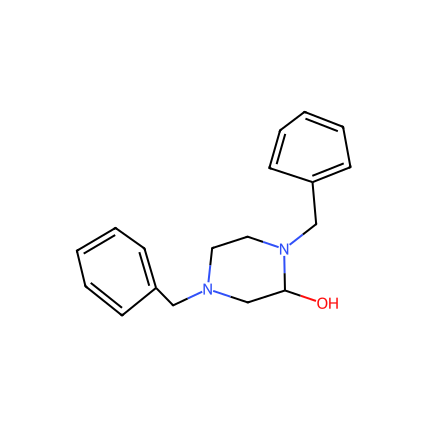 OC1CN(Cc2ccccc2)CCN1Cc1ccccc1